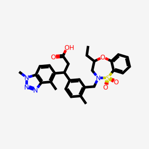 CCC1CN(Cc2cc(C(CC(=O)O)c3ccc4c(nnn4C)c3C)ccc2C)S(=O)(=O)c2ccccc2O1